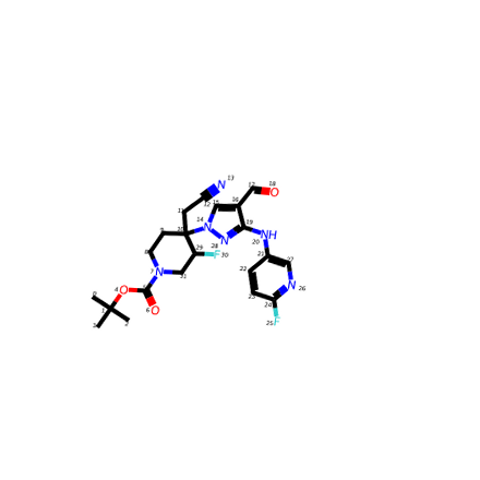 CC(C)(C)OC(=O)N1CCC(CC#N)(n2cc(C=O)c(Nc3ccc(F)nc3)n2)C(F)C1